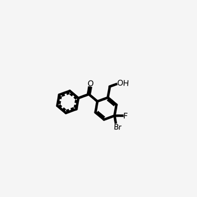 O=C(c1ccccc1)C1C=CC(F)(Br)C=C1CO